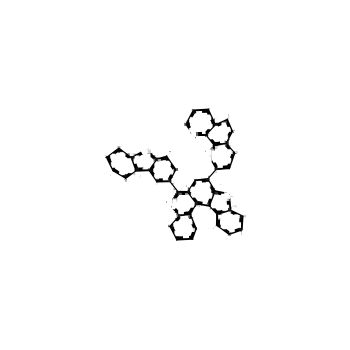 c1cnc2c(c1)ccc1ccc(-c3cc4c(-c5ccc6sc7ccccc7c6c5)nc5ccccc5c4c4c3sc3ccccc34)nc12